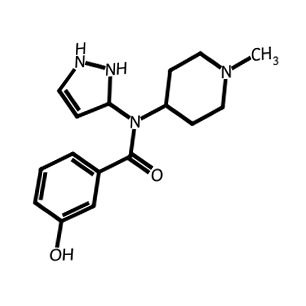 CN1CCC(N(C(=O)c2cccc(O)c2)C2C=CNN2)CC1